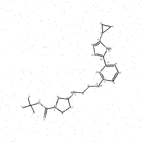 CC(C)(C)OC(=O)N1CCC(NCCNc2cccc(-c3ncc(C4CC4)[nH]3)n2)C1